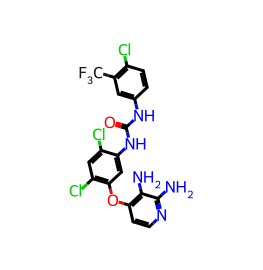 Nc1nccc(Oc2cc(NC(=O)Nc3ccc(Cl)c(C(F)(F)F)c3)c(Cl)cc2Cl)c1N